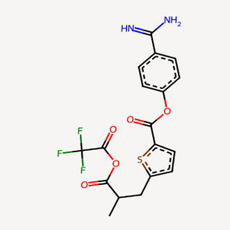 CC(Cc1ccc(C(=O)Oc2ccc(C(=N)N)cc2)s1)C(=O)OC(=O)C(F)(F)F